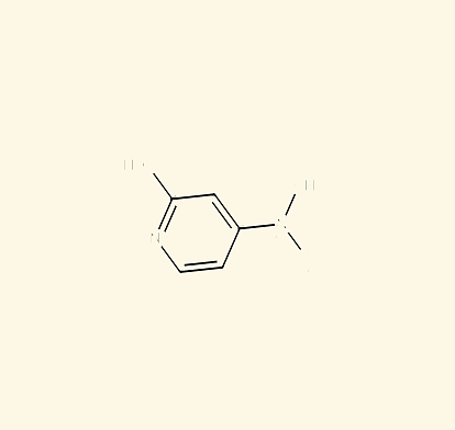 Cc1cc(N(C)C)ccn1